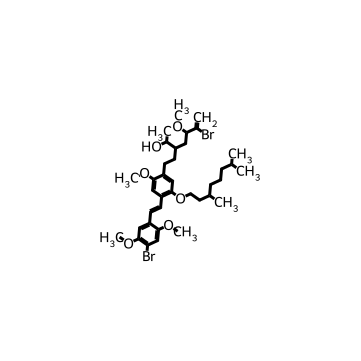 C=C(Br)C(CC(CCc1cc(OCCC(C)CCCC(C)C)c(/C=C/c2cc(OC)c(Br)cc2OC)cc1OC)C(C)O)OC